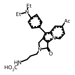 CCN(CC)c1ccc(-c2c3c(n4ccc(C(C)=O)cc24)C(=O)N(CCCNC(=O)O)C3)cc1